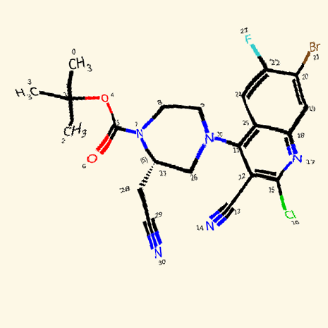 CC(C)(C)OC(=O)N1CCN(c2c(C#N)c(Cl)nc3cc(Br)c(F)cc23)C[C@@H]1CC#N